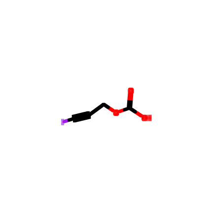 O=C(O)OCC#CI